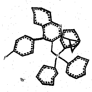 Fc1ccc(-c2c(C[P+](c3ccccc3)(c3ccccc3)c3ccccc3)c(C3CC3)nc3ccccc23)cc1.[Br-]